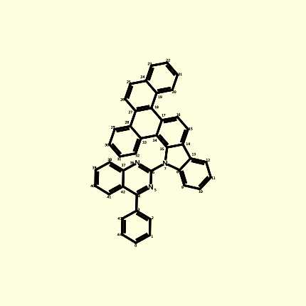 c1ccc(-c2nc(-n3c4ccccc4c4ccc5c6c7ccccc7ccc6c6ccccc6c5c43)nc3ccccc23)cc1